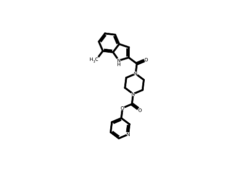 Cc1cccc2cc(C(=O)N3CCN(C(=O)Oc4cccnc4)CC3)[nH]c12